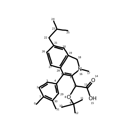 Cc1ccc(C2=C(C(OC(C)(C)C)C(=O)O)N(C)Cc3cc(CC(C)C)ccc32)cc1C